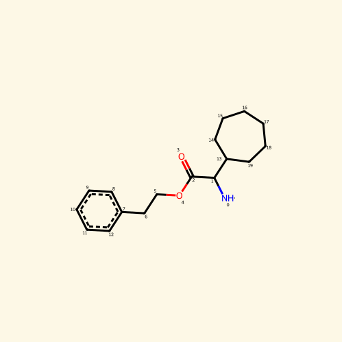 [NH]C(C(=O)OCCc1ccccc1)C1CCCCCC1